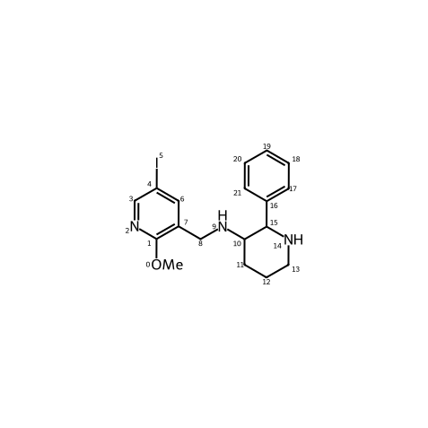 COc1ncc(I)cc1CNC1CCCNC1c1ccccc1